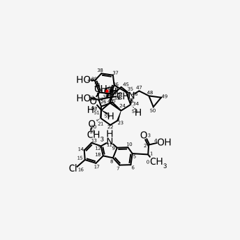 CC(C(=O)O)c1ccc2c(c1)[nH]c1ccc(Cl)cc12.CO[C@@]12CC[C@@]3(C[C@@H]1[C@](C)(O)C(C)(C)C)[C@H]1Cc4ccc(O)c5c4[C@@]3(CCN1CC1CC1)[C@H]2O5